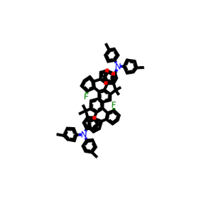 Cc1ccc(N(c2ccc(C)cc2)c2ccc3c(c2)C(C)(C)c2cc4c(-c5c(F)cccc5-c5ccccc5)c5c(cc4c(-c4c(F)cccc4-c4ccccc4)c2-3)C(C)(C)c2cc(N(c3ccc(C)cc3)c3ccc(C)cc3)ccc2-5)cc1